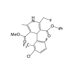 COC(=O)C1=C(C)NC(CF)=C(C(=O)OC(C)C)C1c1c(F)ccc(Cl)c1C(F)(F)F